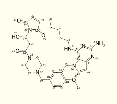 CCCCCNc1nc(N)nc2ccn(Cc3cc(CN4CCN(C(=O)CC(O)N5C(=O)C=CC5=O)CC4)ccc3OC)c12